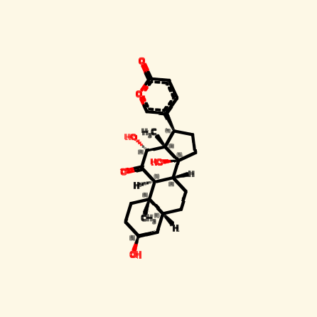 C[C@]12CC[C@H](O)C[C@H]1CC[C@@H]1[C@@H]2C(=O)[C@H](O)[C@]2(C)[C@@H](c3ccc(=O)oc3)CC[C@]12O